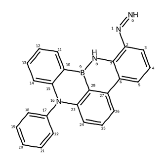 N=Nc1cccc2c1NB1c3ccccc3N(c3ccccc3)c3cccc-2c31